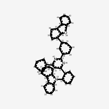 c1ccc(-c2cc(-c3ccccc3-n3c4ccccc4c4ccccc43)nc(-c3cccc(-c4cccc5c4oc4ccccc45)c3)n2)cc1